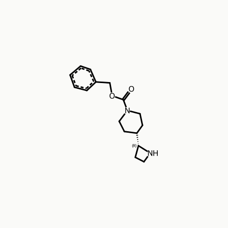 O=C(OCc1ccccc1)N1CCC([C@H]2CCN2)CC1